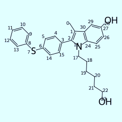 Cc1c(-c2ccc(Sc3ccccc3)cc2)n(CCCCCCO)c2ccc(O)cc12